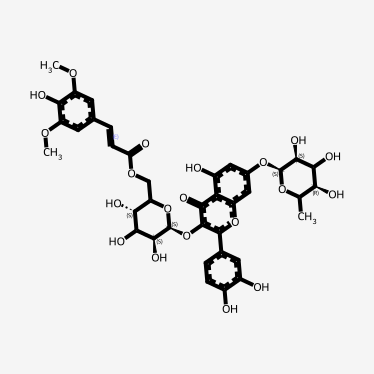 COc1cc(/C=C/C(=O)OCC2O[C@@H](Oc3c(-c4ccc(O)c(O)c4)oc4cc(O[C@@H]5OC(C)[C@H](O)C(O)[C@@H]5O)cc(O)c4c3=O)[C@@H](O)C(O)[C@@H]2O)cc(OC)c1O